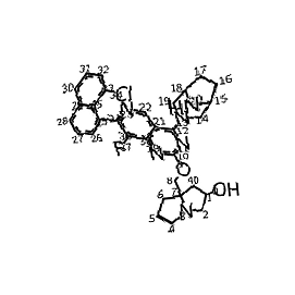 OC1CN2CCCC2(COc2nc(N3CC4CCC(C3)N4)c3cnc(-c4cccc5cccc(Cl)c45)c(F)c3n2)C1